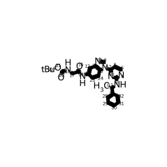 C[C@H](Nc1nccc(-n2cnc3cc(NC(=O)CNC(=O)OC(C)(C)C)ccc32)n1)c1ccccc1